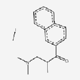 CC(CN(C)C)C(=O)c1ccc2ccccc2c1.CI